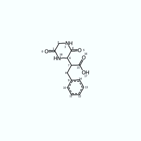 O=C1CNC(=O)C(C(Cc2ccccc2)C(=O)O)N1